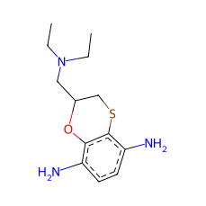 CCN(CC)CC1CSc2c(N)ccc(N)c2O1